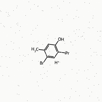 Cc1cc(O)c(C(C)C)cc1Br.[H+]